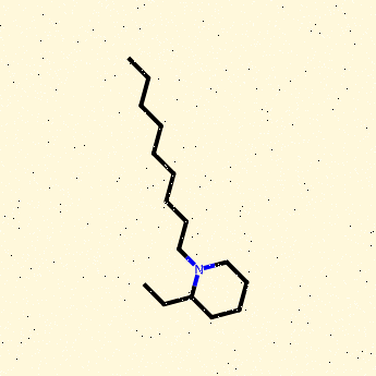 CCCCCCCCCN1CCCCC1CC